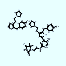 CC1(C)C(=O)NC(=O)N1CCNc1ncc(Br)c(-c2cc(CCN3CCCC3)c(Cc3ccc(F)cc3)s2)n1.Fc1ccc(Cc2sccc2CCN2CCCC2)cc1